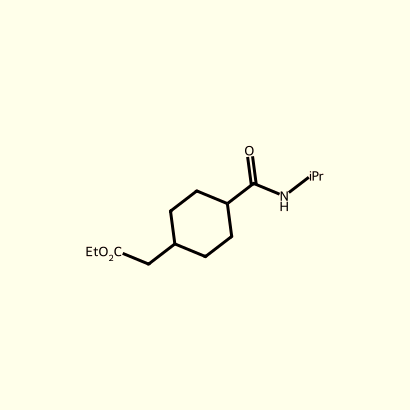 CCOC(=O)CC1CCC(C(=O)NC(C)C)CC1